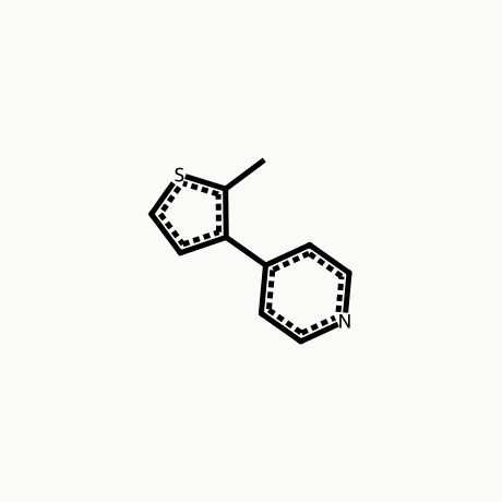 Cc1sccc1-c1ccncc1